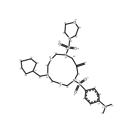 C=C1CN(S(=O)(=O)c2ccc(N(C)C)cc2)CCCN(CC2CCCCC2)CCCN(S(=O)(=O)N2CCOCC2)C1